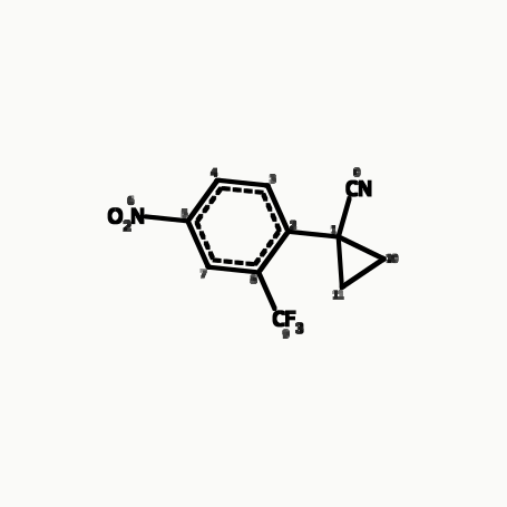 N#CC1(c2ccc([N+](=O)[O-])cc2C(F)(F)F)CC1